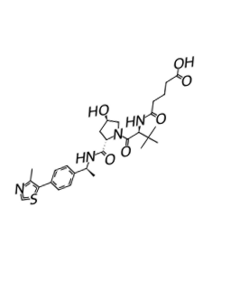 Cc1ncsc1-c1ccc([C@H](C)NC(=O)[C@@H]2C[C@@H](O)CN2C(=O)[C@@H](NC(=O)CCCC(=O)O)C(C)(C)C)cc1